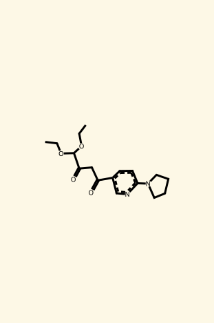 CCOC(OCC)C(=O)CC(=O)c1ccc(N2CCCC2)nc1